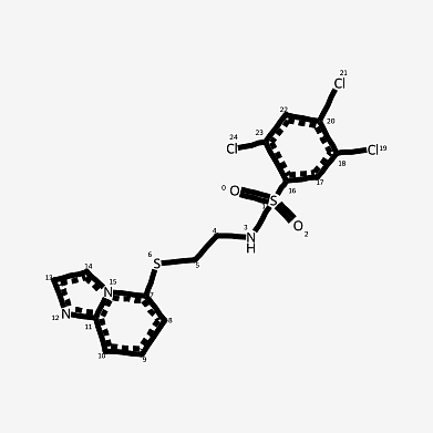 O=S(=O)(NCCSc1cccc2nccn12)c1cc(Cl)c(Cl)cc1Cl